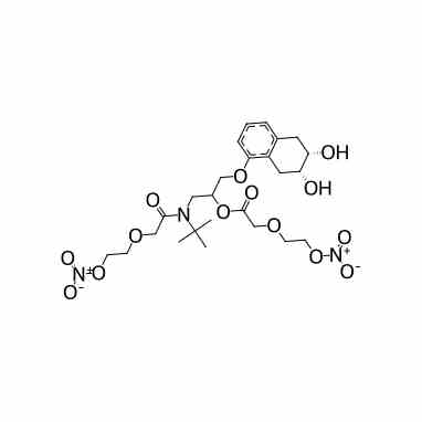 CC(C)(C)N(CC(COc1cccc2c1C[C@@H](O)[C@@H](O)C2)OC(=O)COCCO[N+](=O)[O-])C(=O)COCCO[N+](=O)[O-]